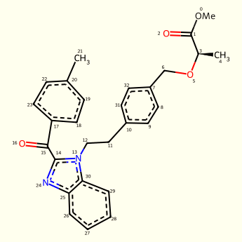 COC(=O)[C@@H](C)OCc1ccc(CCn2c(C(=O)c3ccc(C)cc3)nc3ccccc32)cc1